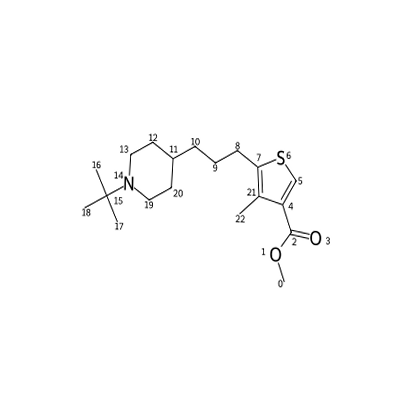 COC(=O)c1csc(CCCC2CCN(C(C)(C)C)CC2)c1C